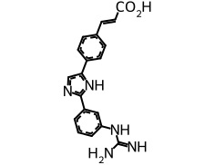 N=C(N)Nc1cccc(-c2ncc(-c3ccc(C=CC(=O)O)cc3)[nH]2)c1